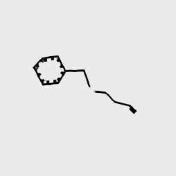 O=CCCOCc1ccccc1.[Gd]